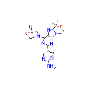 CC1(C)OCCn2c1nc1c(N3C[C@H]4OCC43)nc(-c3cnc(N)nc3)nc12